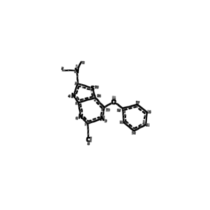 CN(C)c1nc2nc(Cl)nc(Oc3ccccc3)c2s1